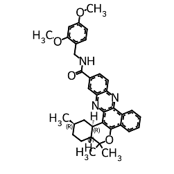 COc1ccc(CNC(=O)c2ccc3nc4c(nc3c2)c2c(c3ccccc34)OC(C)(C)[C@@H]3CC[C@@H](C)C[C@@H]23)c(OC)c1